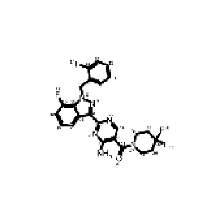 Nc1nc(-c2nn(Cc3ccccc3F)c3c(F)cccc23)ncc1C(=O)N1CCC(F)(F)CC1